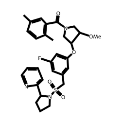 COC1CN(C(=O)c2cc(C)ccc2C)CC1Oc1cc(F)cc(CS(=O)(=O)N2CCCC2c2ccccn2)c1